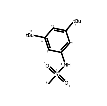 CC(C)(C)c1cc(NS(C)(=O)=O)cc(C(C)(C)C)c1